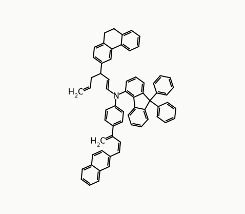 C=CCC(/C=C/N(c1ccc(C(=C)/C=C\c2ccc3ccccc3c2)cc1)c1cccc2c1-c1ccccc1C2(c1ccccc1)c1ccccc1)c1ccc2c(c1)-c1ccccc1CC2